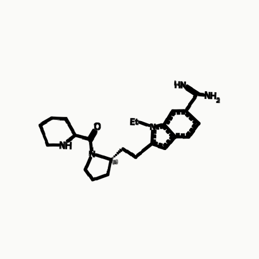 CCn1c(CC[C@@H]2CCCN2C(=O)C2CCCCN2)cc2ccc(C(=N)N)cc21